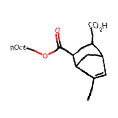 CCCCCCCCOC(=O)C1C2CC(C=C2C)C1C(=O)O